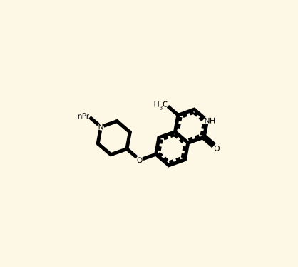 CCCN1CCC(Oc2ccc3c(=O)[nH]cc(C)c3c2)CC1